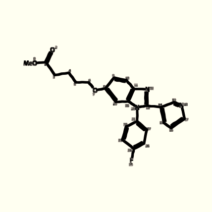 COC(=O)CCCCOc1ccc2nc(-c3cccnc3)n(-c3ccc(F)cc3)c2c1